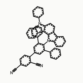 N#Cc1ccc(-c2cc(-c3ccccc3)c(-n3c4ccccc4c4ccc5c(c6ccccc6n5-c5ccccc5)c43)c(-c3ccccc3)c2)c(C#N)c1